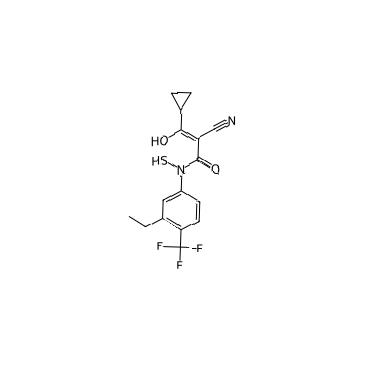 CCc1cc(N(S)C(=O)C(C#N)=C(O)C2CC2)ccc1C(F)(F)F